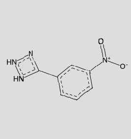 O=[N+]([O-])c1cccc(-c2n[nH][nH]2)c1